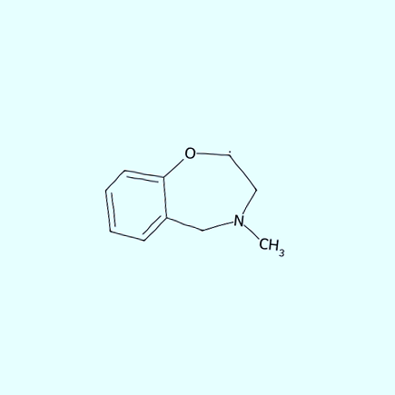 CN1C[CH]Oc2ccccc2C1